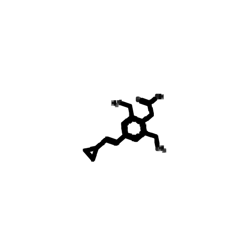 CCc1cc(C=CC2CC2)cc(CN)c1CC(=O)O